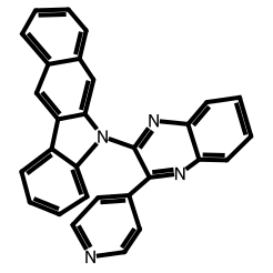 c1ccc2cc3c(cc2c1)c1ccccc1n3-c1nc2ccccc2nc1-c1ccncc1